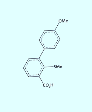 COc1ccc(-c2cccc(C(=O)O)c2SC)cc1